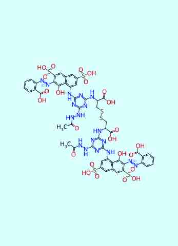 CC(=O)NNc1nc(Nc2cc(S(=O)(=O)O)cc3cc(S(=O)(=O)O)c(/N=N/c4ccccc4C(=O)O)c(O)c23)nc(NC(CSSCC(Nc2nc(NNC(C)=O)nc(Nc3cc(S(=O)(=O)O)cc4cc(S(=O)(=O)O)c(/N=N/c5ccccc5C(=O)O)c(O)c34)n2)C(=O)O)C(=O)O)n1